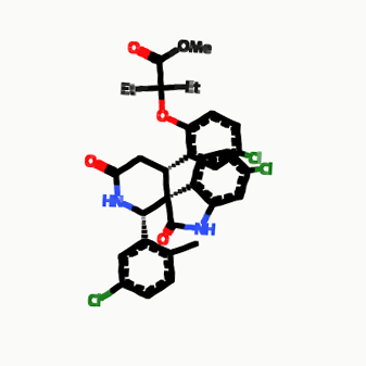 CCC(CC)(Oc1ccc(Cl)cc1[C@H]1CC(=O)N[C@@H](c2cc(Cl)ccc2C)[C@]12C(=O)Nc1cc(Cl)ccc12)C(=O)OC